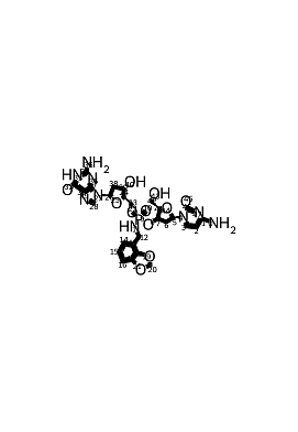 Nc1ccn([C@H]2CC(OP(=O)(NCc3cccc4c3OCO4)OC[C@H]3O[C@@H](n4cnc5c(=O)[nH]c(N)nc54)CC3O)[C@@H](CO)O2)c(=O)n1